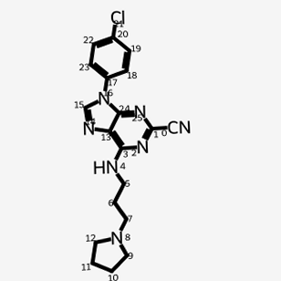 N#Cc1nc(NCCCN2CCCC2)c2ncn(-c3ccc(Cl)cc3)c2n1